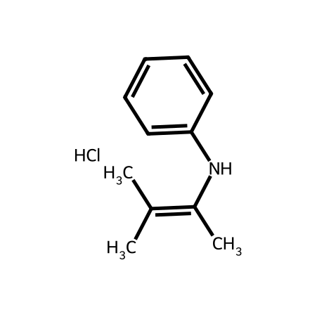 CC(C)=C(C)Nc1ccccc1.Cl